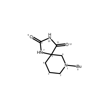 CCC(C)N1CCCC2(C1)NC(=O)NC2=O